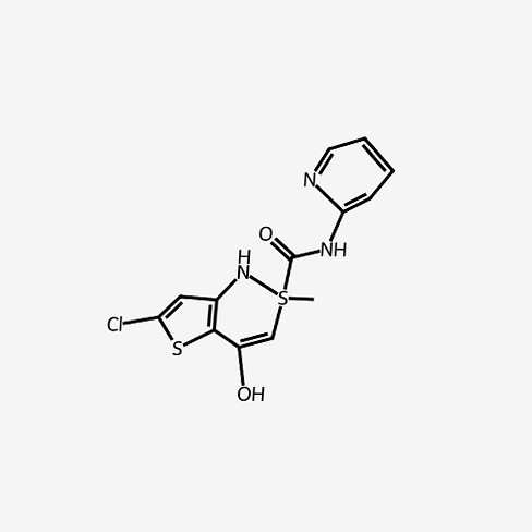 CS1(C(=O)Nc2ccccn2)C=C(O)c2sc(Cl)cc2N1